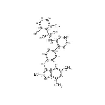 CCc1nc2c(C)cc(C)nc2n1Cc1ccc(-c2ccncc2NS(=O)(=O)c2c(F)cccc2F)cc1